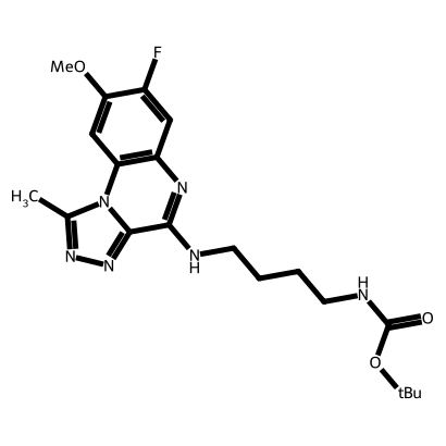 COc1cc2c(cc1F)nc(NCCCCNC(=O)OC(C)(C)C)c1nnc(C)n12